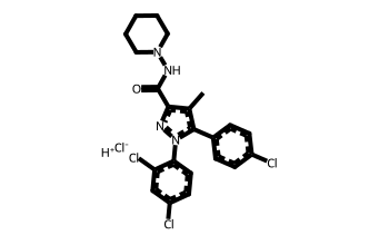 Cc1c(C(=O)NN2CCCCC2)nn(-c2ccc(Cl)cc2Cl)c1-c1ccc(Cl)cc1.[Cl-].[H+]